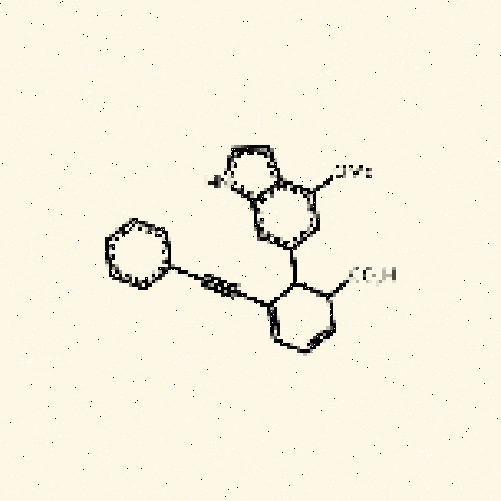 COc1cc(C2C(C#Cc3ccccc3)=CC=CC2C(=O)O)cc2[nH]ccc12